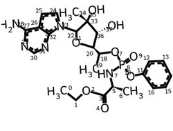 CCOC(=O)[C@H](C)NP(=O)(Oc1ccccc1)OC(C)[C@H]1OC(n2ccc3c(N)ncnc32)[C@](C)(O)[C@@H]1O